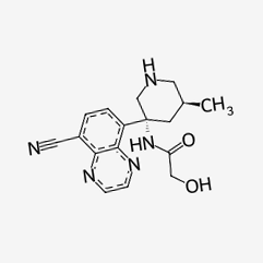 C[C@@H]1CNC[C@](NC(=O)CO)(c2ccc(C#N)c3nccnc23)C1